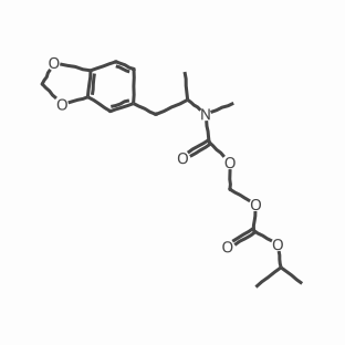 CC(C)OC(=O)OCOC(=O)N(C)C(C)Cc1ccc2c(c1)OCO2